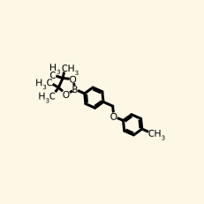 Cc1ccc(OCc2ccc(B3OC(C)(C)C(C)(C)O3)cc2)cc1